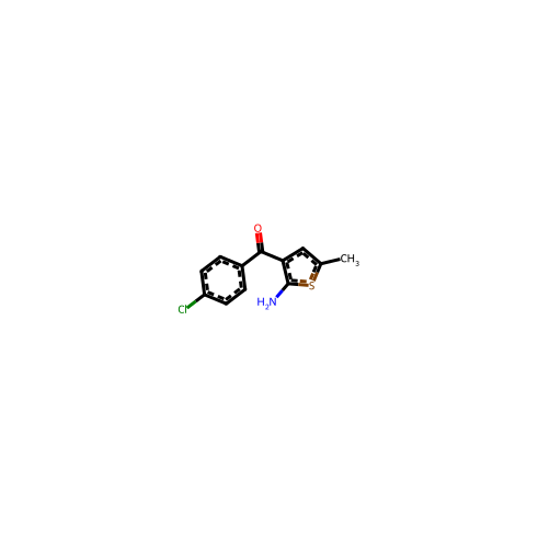 Cc1cc(C(=O)c2ccc(Cl)cc2)c(N)s1